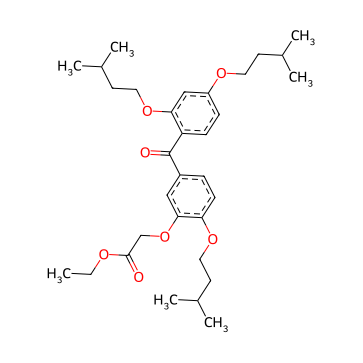 CCOC(=O)COc1cc(C(=O)c2ccc(OCCC(C)C)cc2OCCC(C)C)ccc1OCCC(C)C